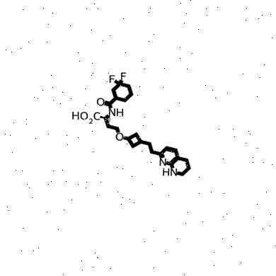 O=C(N[C@@H](CCOC1CC(CCc2ccc3c(n2)NCCC3)C1)C(=O)O)C1CCCC(F)(F)C1